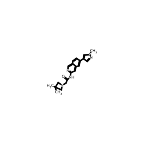 Cn1cc(-c2ccc3cnc(NC(=O)CN4CC(C)(C)C4)cc3c2)cn1